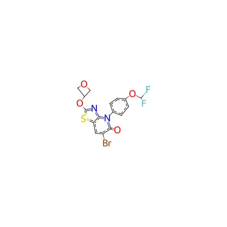 O=c1c(Br)cc2sc(OC3COC3)nc2n1-c1ccc(OC(F)F)cc1